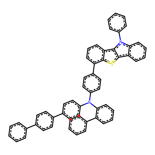 c1ccc(-c2ccc(-c3ccc(N(c4ccc(-c5cccc6c5sc5c7ccccc7n(-c7ccccc7)c65)cc4)c4ccccc4-c4ccccc4)cc3)cc2)cc1